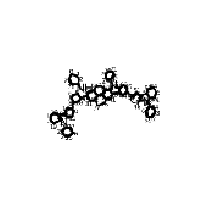 C1=CCC(Nc2ccc(-c3ccc4c(c3)c3ccccc3n4-c3ccccc3)cc2-c2cc3c4c(c2)CCc2c-4c(cc4c5cc(-c6ccc7c(c6)C6C=CC=CC6N7c6ccccc6)ccc5n(-c5ccccc5)c24)CC3)C=C1